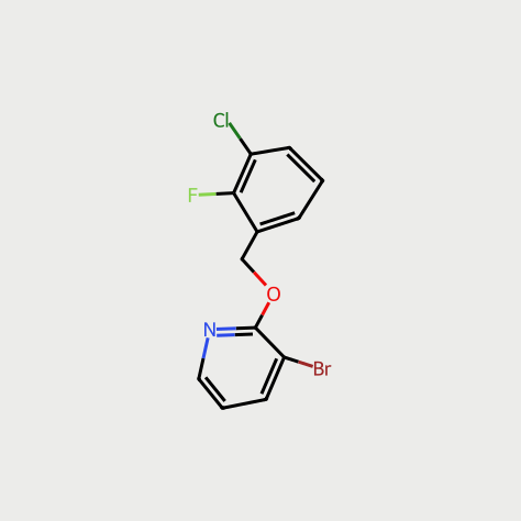 Fc1c(Cl)cccc1COc1ncccc1Br